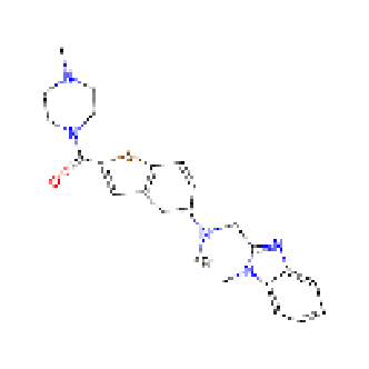 CCCN(Cc1nc2ccccc2n1C)c1ccc2sc(C(=O)N3CCN(C)CC3)cc2c1